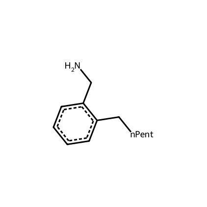 [CH2]CCCCCc1ccccc1CN